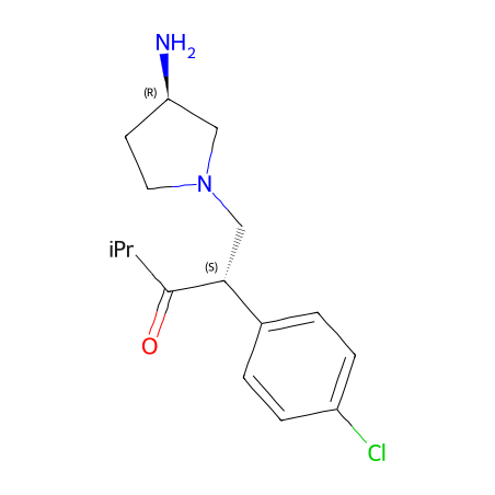 CC(C)C(=O)[C@H](CN1CC[C@@H](N)C1)c1ccc(Cl)cc1